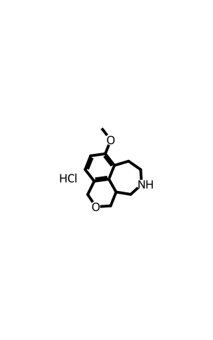 COc1ccc2c3c1CCNCC3COC2.Cl